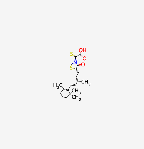 CC(C=CC1=C(C)CCCC1(C)C)=CC=C1SCN(C(=S)C(=O)O)C1=O